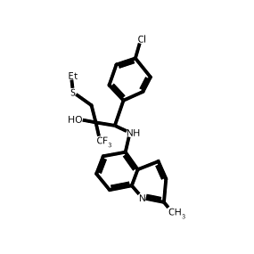 CCSCC(O)(C(Nc1cccc2nc(C)ccc12)c1ccc(Cl)cc1)C(F)(F)F